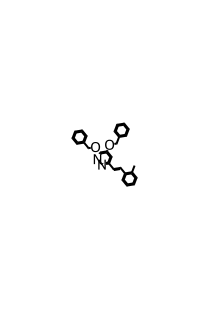 Cc1ccccc1/C=C/c1cc(OCc2ccccc2)c(OCc2ccccc2)nn1